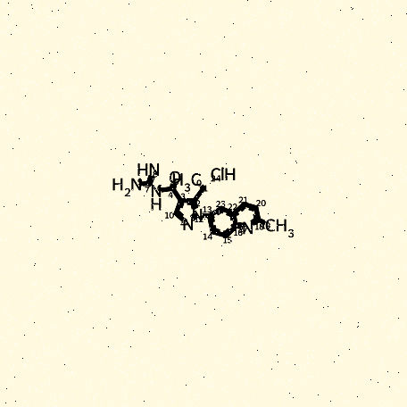 CCc1c(C(=O)NC(=N)N)cnn1-c1ccc2nc(C)ccc2c1.Cl